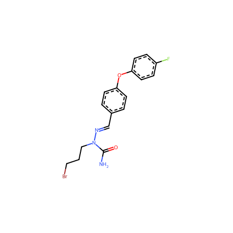 NC(=O)N(CCCBr)N=Cc1ccc(Oc2ccc(F)cc2)cc1